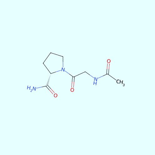 CC(=O)NCC(=O)N1CCC[C@H]1C(N)=O